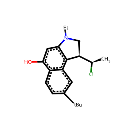 CCN1C[C@@H]([C@@H](C)Cl)c2c1cc(O)c1ccc(C(C)(C)C)cc21